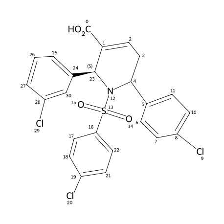 O=C(O)C1=CCC(c2ccc(Cl)cc2)N(S(=O)(=O)c2ccc(Cl)cc2)[C@H]1c1cccc(Cl)c1